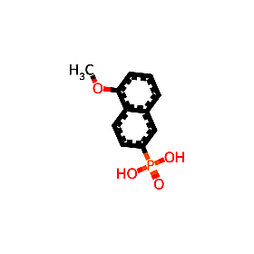 COc1cccc2cc(P(=O)(O)O)ccc12